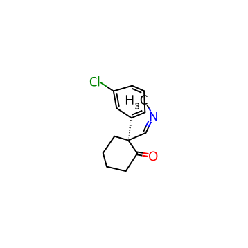 C/N=C\[C@]1(c2cccc(Cl)c2)CCCCC1=O